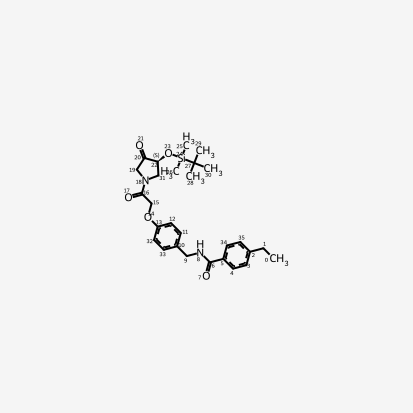 CCc1ccc(C(=O)NCc2ccc(OCC(=O)N3CC(=O)[C@@H](O[Si](C)(C)C(C)(C)C)C3)cc2)cc1